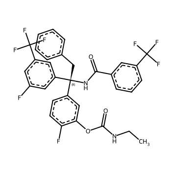 CCNC(=O)Oc1cc([C@@](Cc2ccccc2)(NC(=O)c2cccc(C(F)(F)F)c2)c2cc(F)cc(C(F)(F)F)c2)ccc1F